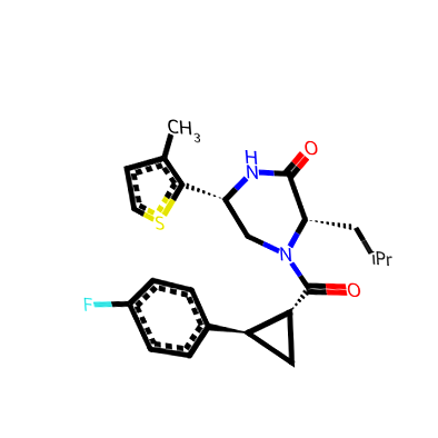 Cc1ccsc1[C@H]1CN(C(=O)[C@@H]2C[C@H]2c2ccc(F)cc2)[C@@H](CC(C)C)C(=O)N1